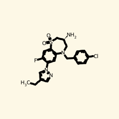 CCc1cnn(-c2cc3c(cc2F)S(=O)(=O)C[C@H](N)CN3Cc2ccc(Cl)cc2)c1